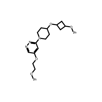 CC(C)OCCOc1cnnc(N2CCC(OC3CC(OC(C)C)C3)CC2)c1